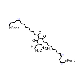 CCCCC/C=C\C/C=C\CCCCCCCC(=O)N(C(=O)CCCCCCC/C=C\C/C=C\CCCCC)C(=O)C(C)CN(C)C